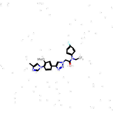 COc1cc(-c2cn(CC(=O)N(CC(F)(F)F)c3ccc(F)cc3)nn2)ccc1-n1cnc(C)c1